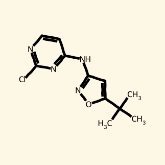 CC(C)(C)c1cc(Nc2ccnc(Cl)n2)no1